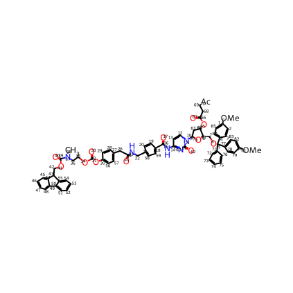 COc1ccc(C(OC[C@H]2O[C@@H](n3ccc(NC(=O)c4ccc(CNC(=O)Cc5ccc(OC(=O)OCCN(C)C(=O)OCC6c7ccccc7-c7ccccc76)cc5)cc4)nc3=O)C[C@H]2OC(=O)CCC(C)=O)(c2ccccc2)c2ccc(OC)cc2)cc1